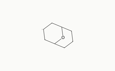 [CH]1CC2CCCC(C1)O2